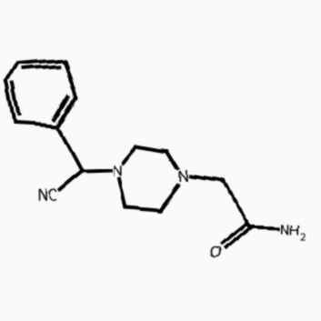 N#CC(c1ccccc1)N1CCN(CC(N)=O)CC1